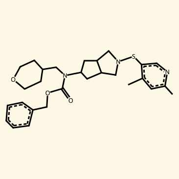 Cc1cc(C)c(SN2CC3CC(N(CC4CCOCC4)C(=O)OCc4ccccc4)CC3C2)cn1